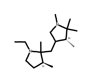 CCN1CC[C@H](C)C1(C)CC1CN(C)C(C)(C)[C@@H]1C